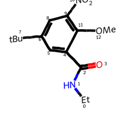 CCNC(=O)c1cc(C(C)(C)C)cc([N+](=O)[O-])c1OC